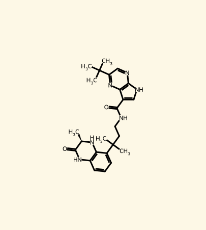 C[C@H]1Nc2c(cccc2C(C)(C)CCNC(=O)c2c[nH]c3ncc(C(C)(C)C)nc23)NC1=O